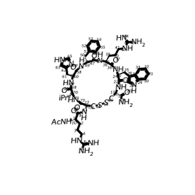 CC(=O)N[C@@H](CCCNC(=N)N)C(=O)N[C@H]1CSSC[C@@H](C(N)=O)NC(=O)[C@H](Cc2c[nH]c3ccccc23)NC(=O)[C@H](CCCNC(=N)N)NC(=O)[C@@H](Cc2ccccc2)NC(=O)[C@H](Cc2c[nH]cn2)NC(=O)[C@@H](C(C)C)NC1=O